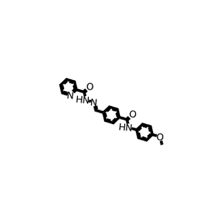 COc1ccc(NC(=O)c2ccc(C=NNC(=O)c3ccccn3)cc2)cc1